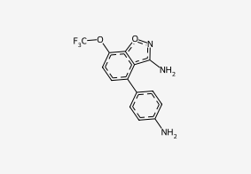 Nc1ccc(-c2ccc(OC(F)(F)F)c3onc(N)c23)cc1